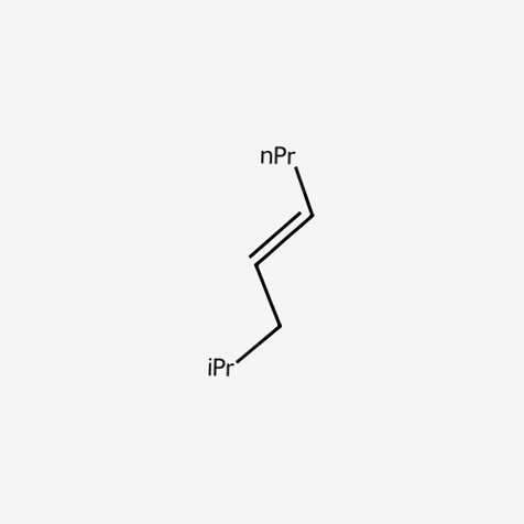 CCC/C=C/CC(C)C